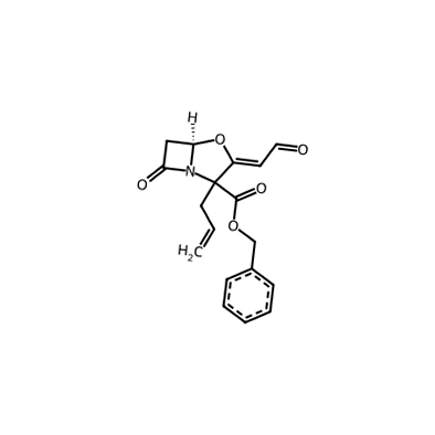 C=CCC1(C(=O)OCc2ccccc2)/C(=C/C=O)O[C@@H]2CC(=O)N21